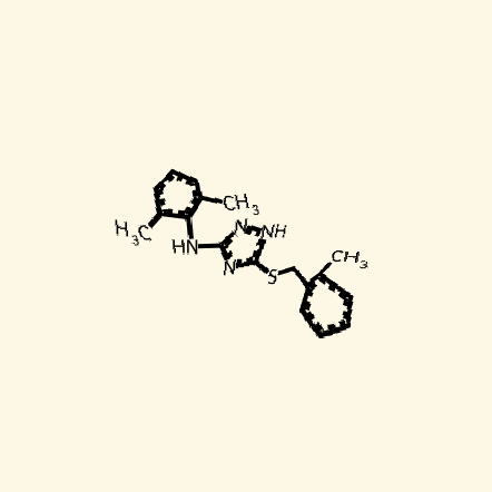 Cc1ccccc1CSc1nc(Nc2c(C)cccc2C)n[nH]1